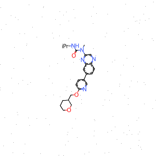 CC(C)NC(=O)N(C)c1cnc2ccc(-c3ccc(OCC4CCCOC4)nc3)cc2n1